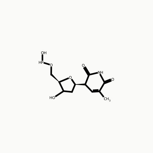 CC1=CC([C@H]2CC(O)[C@@H](COPO)O2)C(=O)NC1=O